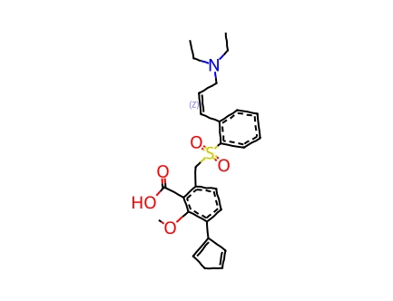 CCN(CC)C/C=C\c1ccccc1S(=O)(=O)Cc1ccc(C2=CCC=C2)c(OC)c1C(=O)O